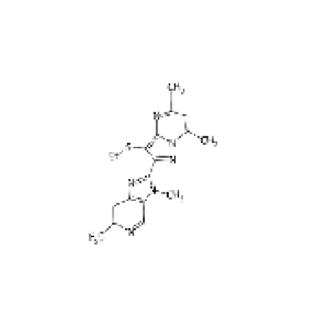 CCSc1c(-c2nc3cc(C(F)(F)F)ncc3n2C)nn2c(C)cc(C)nc12